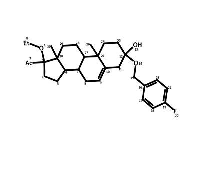 CCOC1(C(C)=O)CCC2C3CC=C4CC(O)(OCc5ccc(F)cc5)CCC4(C)C3CCC21C